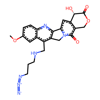 COc1ccc2nc3c(c(CNCCCN=[N+]=[N-])c2c1)Cn1c-3cc2c(c1=O)COC(=O)[C@H]2O